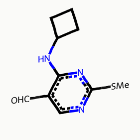 CSc1ncc(C=O)c(NC2CCC2)n1